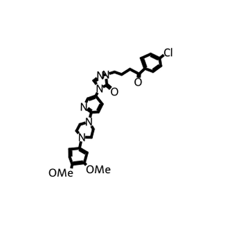 COc1ccc(N2CCN(c3ccc(-n4cnn(CCCC(=O)c5ccc(Cl)cc5)c4=O)cn3)CC2)cc1OC